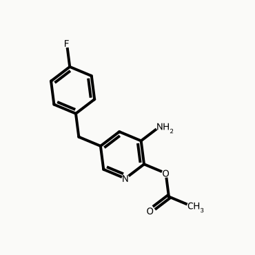 CC(=O)Oc1ncc(Cc2ccc(F)cc2)cc1N